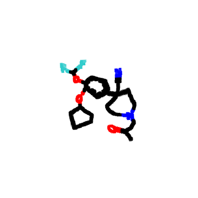 CC(=O)CN1CCC(C#N)(c2ccc(OC(F)F)c(OC3CCCC3)c2)CC1